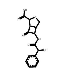 O=C(NC1C(=O)N2C(C(=O)O)SCC12)C(O)c1ccccc1